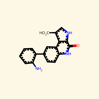 Nc1ccccc1-c1ccc2[nH]c(=O)c3[nH]cc(C(=O)O)c3c2c1